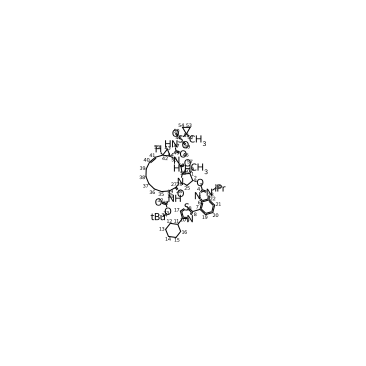 CC1[C@@H](Oc2nc3c(-c4nc(C5CCCCC5)cs4)cccc3n2C(C)C)CN2C(=O)[C@@H](NC(=O)OC(C)(C)C)CCCCC/C=C\[C@@H]3C[C@@]3(C(=O)NS(=O)(=O)C3(C)CC3)NC(=O)[C@H]12